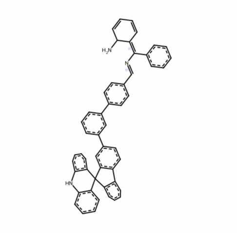 NC1C=CC=C/C1=C(/N=C/c1ccc(-c2cccc(-c3ccc4c(c3)C3(c5ccccc5Nc5ccccc53)c3ccccc3-4)c2)cc1)c1ccccc1